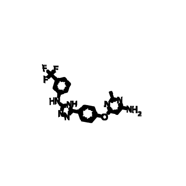 Cc1nc(N)cc(Oc2ccc(-c3nnc(Nc4cccc(C(F)(F)F)c4)[nH]3)cc2)n1